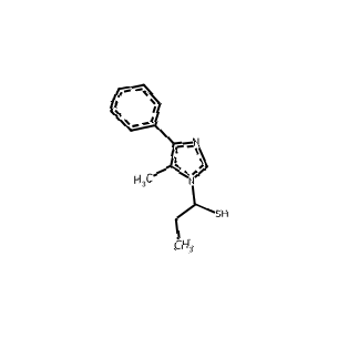 CCC(S)n1cnc(-c2ccccc2)c1C